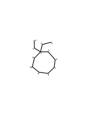 CCC1(CC)CCCCCCC1